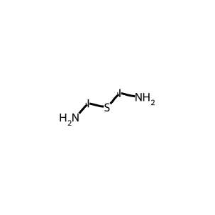 N[I]S[I]N